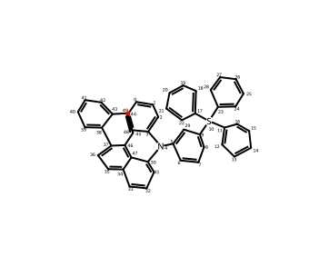 c1ccc(N(c2cccc(S(c3ccccc3)(c3ccccc3)c3ccccc3)c2)c2cccc3ccc4c5ccccc5ccc4c23)cc1